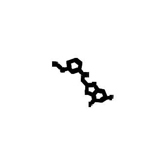 CCOc1cccc(NCc2nc3cc(F)cc(F)c3s2)c1